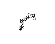 CC(C)(C)OC(=O)CCN1CCOC(c2ccc(OCCCc3c(Cl)cccc3Cl)cc2)C1